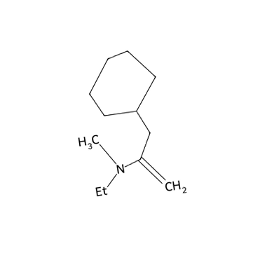 C=C(CC1CCCCC1)N(C)CC